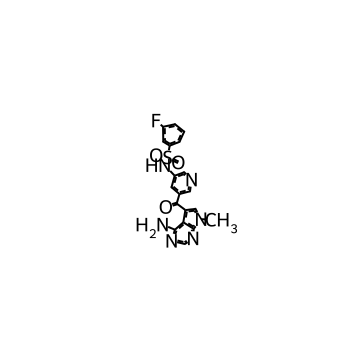 Cn1cc(C(=O)c2cncc(NS(=O)(=O)c3cccc(F)c3)c2)c2c(N)ncnc21